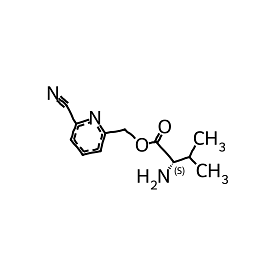 CC(C)[C@H](N)C(=O)OCc1cccc(C#N)n1